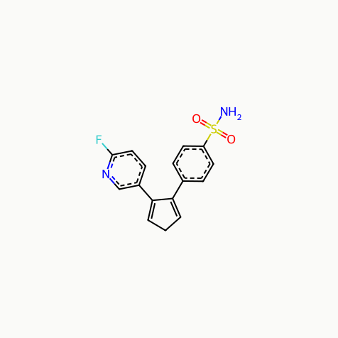 NS(=O)(=O)c1ccc(C2=CCC=C2c2ccc(F)nc2)cc1